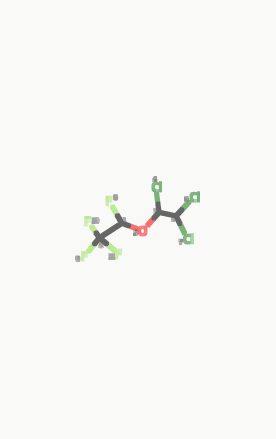 FC(OC(Cl)C(Cl)Cl)C(F)(F)F